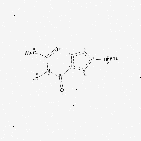 CCCCCc1ccc(C(=O)N(CC)C(=O)OC)s1